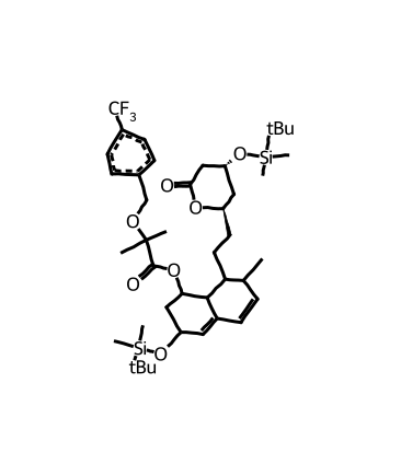 CC1C=CC2=CC(O[Si](C)(C)C(C)(C)C)CC(OC(=O)C(C)(C)OCc3ccc(C(F)(F)F)cc3)C2C1CC[C@@H]1C[C@@H](O[Si](C)(C)C(C)(C)C)CC(=O)O1